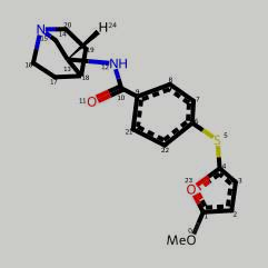 COc1ccc(Sc2ccc(C(=O)N[C@H]3CN4CCC3CC4)cc2)o1